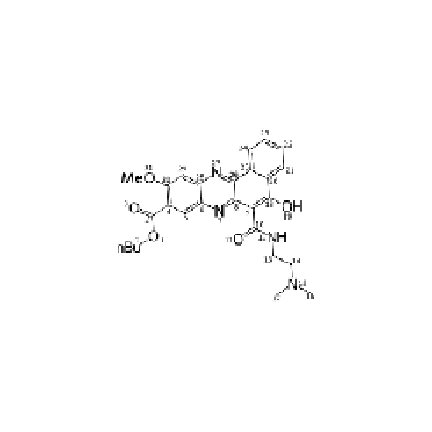 CCCCOC(=O)c1cc2nc3c(C(=O)NCCN(C)C)c(O)c4ccccc4c3nc2cc1OC